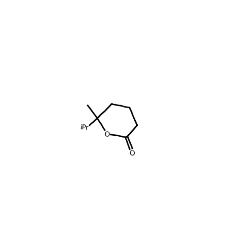 CC(C)C1(C)CCCC(=O)O1